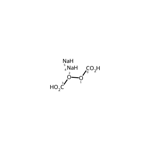 O=C(O)OOC(=O)O.[NaH].[NaH]